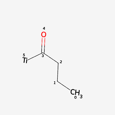 CCC[C](=O)[Ti]